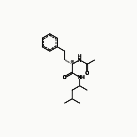 CC(=O)N[C@@H](CCc1ccccc1)C(=O)NC(C)CC(C)C